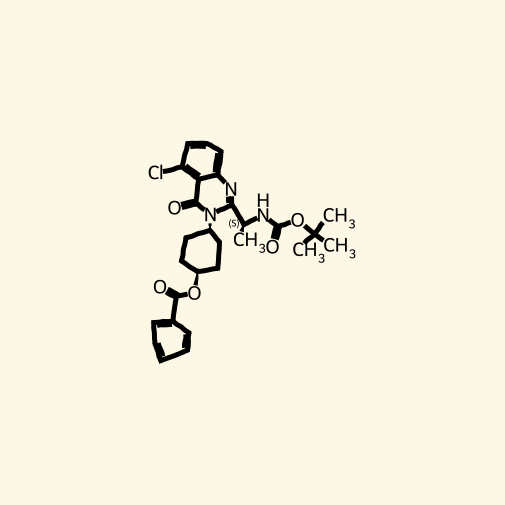 C[C@H](NC(=O)OC(C)(C)C)c1nc2cccc(Cl)c2c(=O)n1[C@H]1CC[C@H](OC(=O)c2ccccc2)CC1